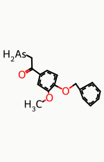 COc1cc(C(=O)C[AsH2])ccc1OCc1ccccc1